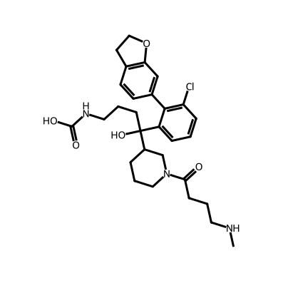 CNCCCC(=O)N1CCCC(C(O)(CCCNC(=O)O)c2cccc(Cl)c2-c2ccc3c(c2)OCC3)C1